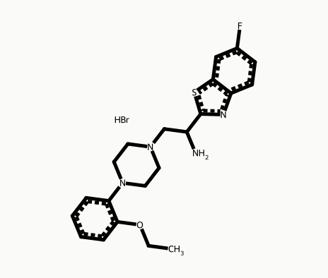 Br.CCOc1ccccc1N1CCN(CC(N)c2nc3ccc(F)cc3s2)CC1